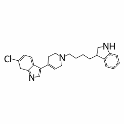 ClC1=CC=C2C(C3=CCN(CCCCC4CNc5ccccc54)CC3)=CN=C2C1